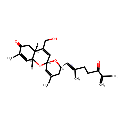 C=C(C)C(=O)CC/C(C)=C/[C@@H]1CC(C)=C[C@]2(C=C(CO)[C@H]3CC(=O)C(C)=C[C@H]3O2)O1